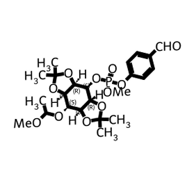 COC(C)O[C@@H]1[C@H]2OC(C)(C)O[C@H]2[C@@H](OP(=O)(OC)Oc2ccc(C=O)cc2)[C@@H]2OC(C)(C)O[C@@H]12